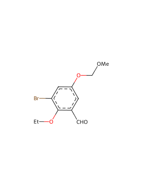 CCOc1c(Br)cc(OCOC)cc1C=O